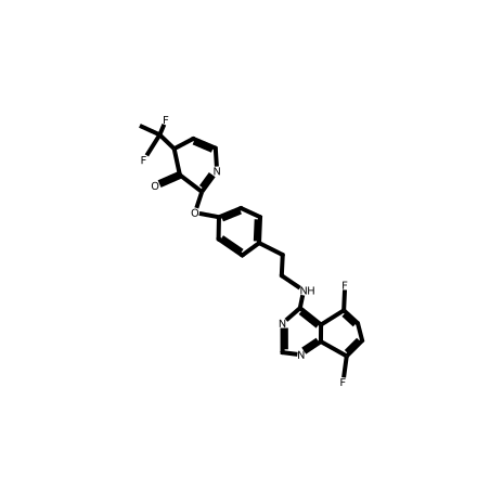 CC(F)(F)C1C=CN=C(Oc2ccc(CCNc3ncnc4c(F)ccc(F)c34)cc2)C1=O